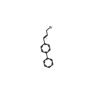 BrC/C=C/c1ccc(-c2ccccc2)cc1